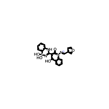 O=c1c(C2=NS(O)(O)c3ccccc3N2)c(O)c2ccccc2n1/N=C/c1ccoc1